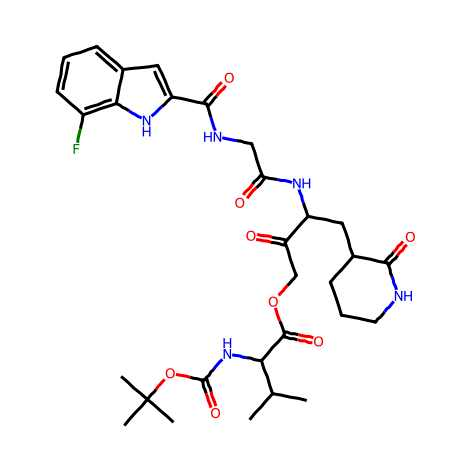 CC(C)C(NC(=O)OC(C)(C)C)C(=O)OCC(=O)C(CC1CCCNC1=O)NC(=O)CNC(=O)c1cc2cccc(F)c2[nH]1